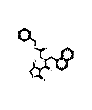 CC(C)C1COC(=O)N1C(=O)[C@@H](CC(=O)OCc1ccccc1)Cc1cccc2ccccc12